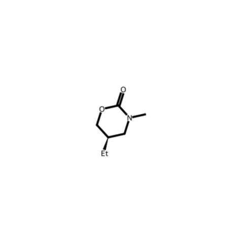 CC[C@H]1COC(=O)N(C)C1